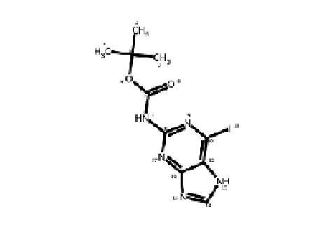 CC(C)(C)OC(=O)Nc1nc(I)c2[nH]cnc2n1